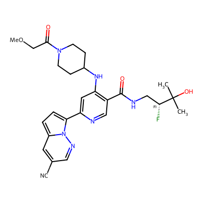 COCC(=O)N1CCC(Nc2cc(-c3ccc4cc(C#N)cnn34)ncc2C(=O)NC[C@@H](F)C(C)(C)O)CC1